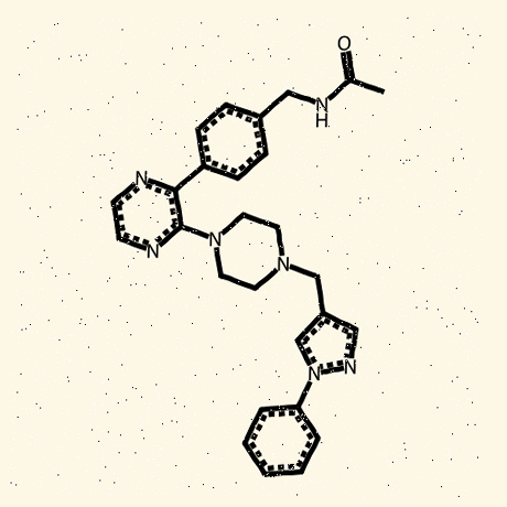 CC(=O)NCc1ccc(-c2nccnc2N2CCN(Cc3cnn(-c4ccccc4)c3)CC2)cc1